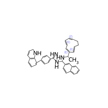 CC(NC(NC(=N)c1ccc(-c2cccc3c2NCC=C3)cc1)c1ccc2ccccc2c1)C1=C/C=C/C=C\CC\C=C\1